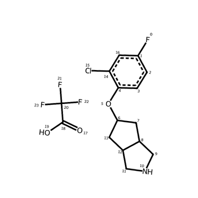 Fc1ccc(OC2CC3CNCC3C2)c(Cl)c1.O=C(O)C(F)(F)F